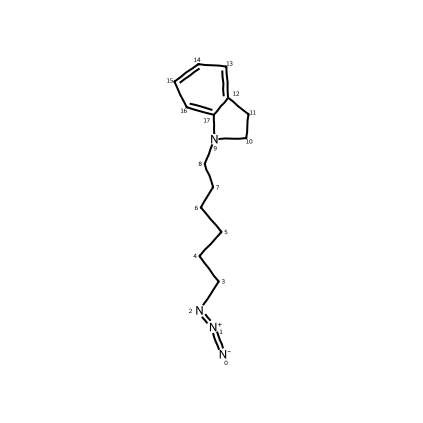 [N-]=[N+]=NCCCCCCN1CCc2ccccc21